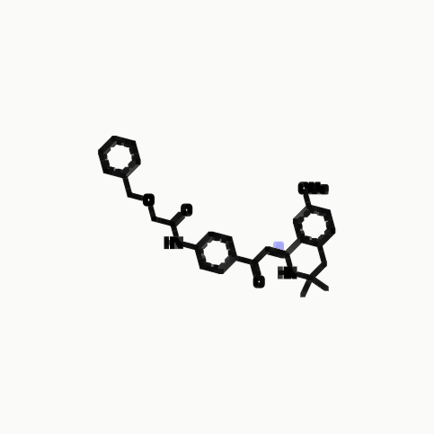 COc1ccc2c(c1)/C(=C/C(=O)c1ccc(NC(=O)COCc3ccccc3)cc1)NC(C)(C)C2